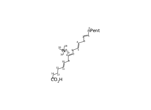 CCCCCC=CCC=CCC=CCC=CCCCC(=O)O.C[N+](C)(C)C